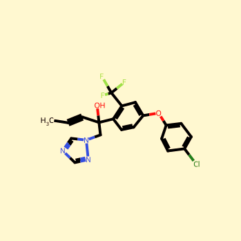 CC#CC(O)(Cn1cncn1)c1ccc(Oc2ccc(Cl)cc2)cc1C(F)(F)F